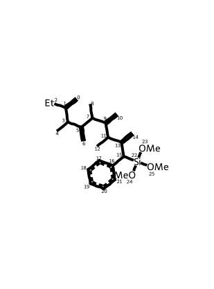 C=C(CC)C(C)C(=C)C(C)C(=C)C(C)C(=C)C(c1ccccc1)[Si](OC)(OC)OC